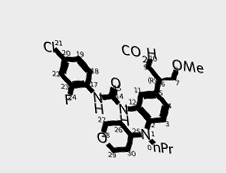 CCCN(c1ccc([C@H](COC)CC(=O)O)cc1NC(=O)Nc1ccc(Cl)cc1F)C1CCOCC1